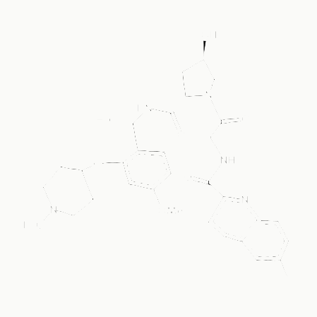 COc1ccc([C@H](C)NC(=O)[C@@H]2C[C@@H](O)CN2C(=O)CNC(=O)c2ccc3cc(F)ccc3n2)c(OC2CCN(C)CC2)c1